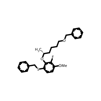 COc1ccc(SCc2ccccc2)c(O[C@H](C)CCCCOCc2ccccc2)c1F